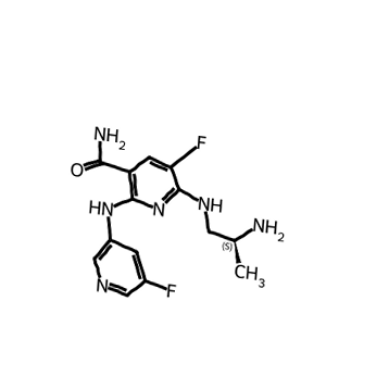 C[C@H](N)CNc1nc(Nc2cncc(F)c2)c(C(N)=O)cc1F